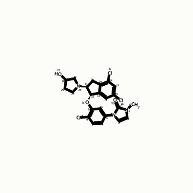 Cn1ccn(-c2ccc(Cl)c(O[C@H]3c4cc(Cl)cc(Cl)c4C[C@@H]3N3CCC(O)C3)c2)c1=O